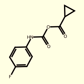 O=C(Nc1ccc(F)cc1)OC(=O)C1CC1